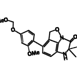 COCOc1ccc(-c2ccc3c4c2CON4C(=O)C(C)(C)N3)c(OC)c1